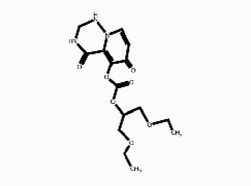 CCOCC(COCC)OC(=O)Oc1c2n(ccc1=O)NCNC2=O